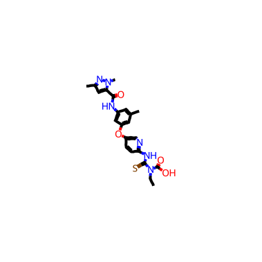 CCN(C(=O)O)C(=S)Nc1ccc(Oc2cc(C)cc(NC(=O)c3cc(C)nn3C)c2)cn1